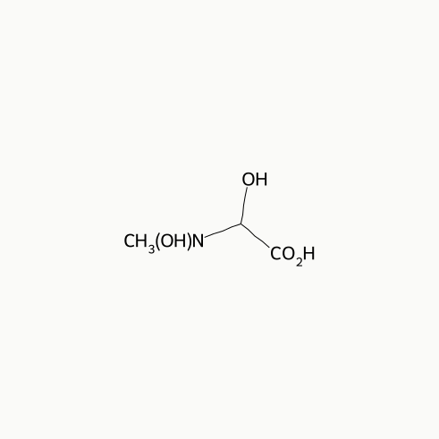 CN(O)C(O)C(=O)O